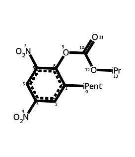 CCCC(C)c1cc([N+](=O)[O-])cc([N+](=O)[O-])c1OC(=O)OC(C)C